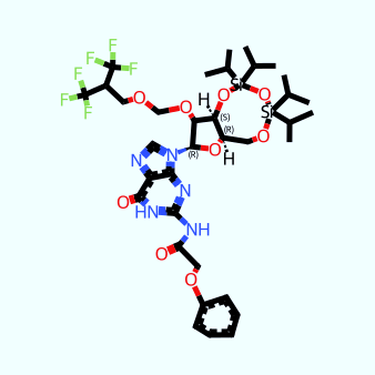 CC(C)[Si]1(C(C)C)OC[C@H]2O[C@@H](n3cnc4c(=O)[nH]c(NC(=O)COc5ccccc5)nc43)C(OCOCC(C(F)(F)F)C(F)(F)F)[C@H]2O[Si](C(C)C)(C(C)C)O1